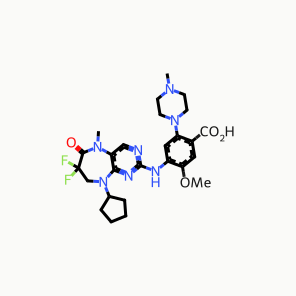 COc1cc(C(=O)O)c(N2CCN(C)CC2)cc1Nc1ncc2c(n1)N(C1CCCC1)CC(F)(F)C(=O)N2C